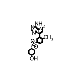 Cc1ccc(S(=O)(=O)C[C@H]2CC[C@@H](O)CC2)cc1-c1cnc2c(N)ncnn12